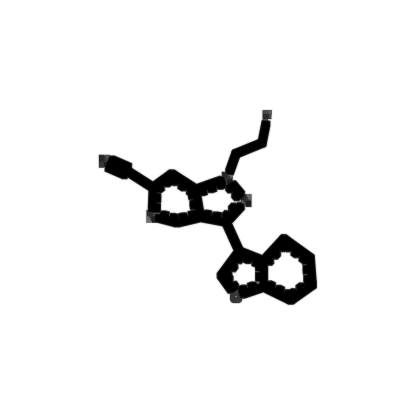 N#Cc1cc2c(cn1)c(-c1coc3ccccc13)nn2CCF